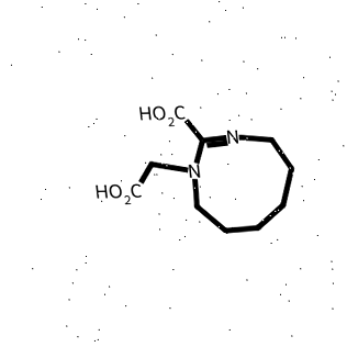 O=C(O)CN1CCCCCCN=C1C(=O)O